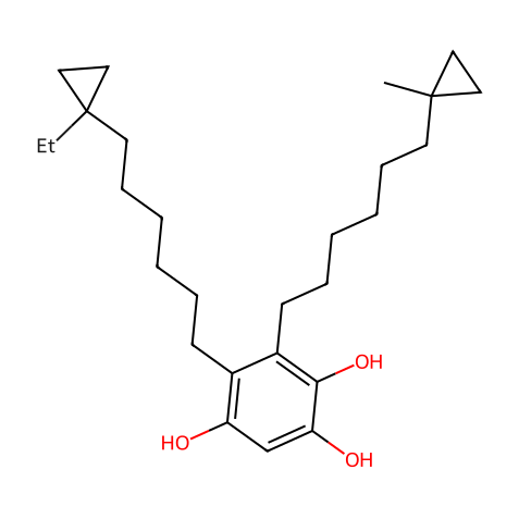 CCC1(CCCCCCc2c(O)cc(O)c(O)c2CCCCCCC2(C)CC2)CC1